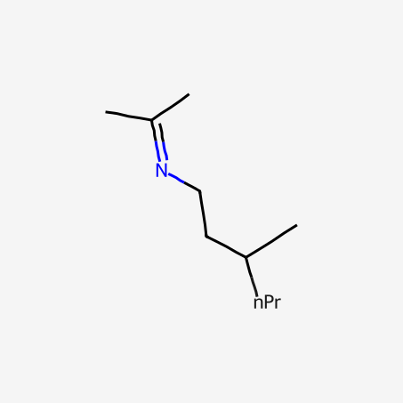 CCCC(C)CCN=C(C)C